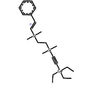 C[CH2][Ge]([C]#C[Si](C)(C)CC[Si](C)(C)/C=C/c1ccccc1)([CH2]C)[CH2]C